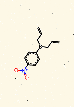 C=CCB(CC=C)c1ccc([N+](=O)[O-])cc1